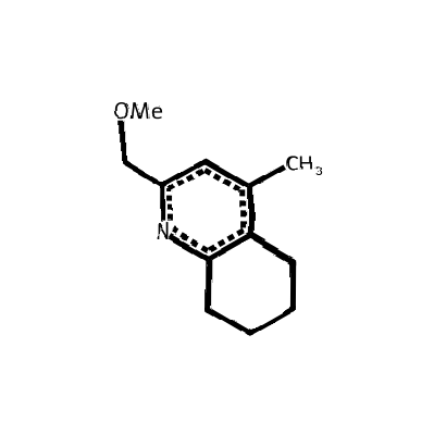 COCc1cc(C)c2c(n1)CCCC2